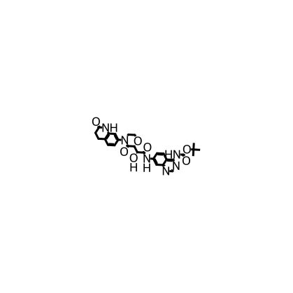 CC(C)(C)OC(=O)Nc1ncnc2cc(NC(=O)[C@H](O)[C@H]3OCCN(c4ccc5c(c4)NC(=O)CC5)C3=O)ccc12